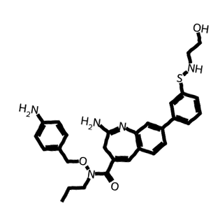 CCCN(OCc1ccc(N)cc1)C(=O)C1=Cc2ccc(-c3cccc(SNCCO)c3)cc2N=C(N)C1